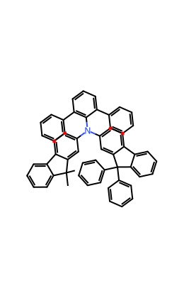 CC1(C)c2ccccc2-c2ccc(N(c3ccc4c(c3)C(c3ccccc3)(c3ccccc3)c3ccccc3-4)c3c(-c4ccccc4)cccc3-c3ccccc3)cc21